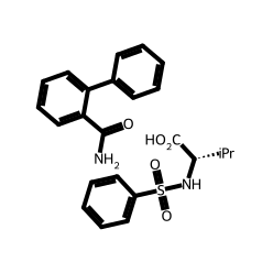 CC(C)[C@H](NS(=O)(=O)c1ccccc1)C(=O)O.NC(=O)c1ccccc1-c1ccccc1